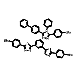 CC(C)(C)c1ccc(-c2nnc(-c3ccc(-c4ccccc4)cc3)n2-c2ccccc2)cc1.CC(C)(C)c1ccc(-c2nnc(-c3cccc(-c4nnc(-c5ccc(C(C)(C)C)cc5)o4)c3)o2)cc1